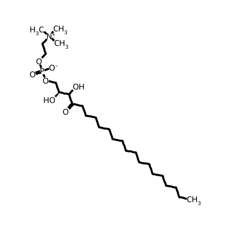 CCCCCCCCCCCCCCCCCC(=O)C(O)[C@@H](O)COP(=O)([O-])OCC[N+](C)(C)C